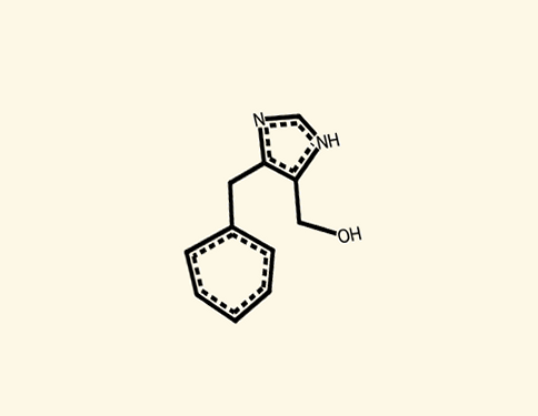 OCc1[nH]cnc1Cc1ccccc1